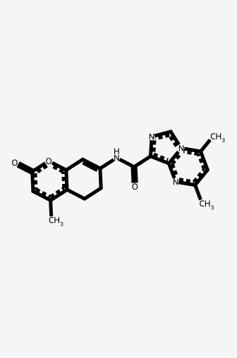 Cc1cc(C)n2cnc(C(=O)NC3=Cc4oc(=O)cc(C)c4CC3)c2n1